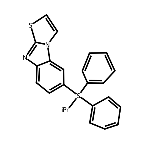 CC(C)S(c1ccccc1)(c1ccccc1)c1ccc2nc3sccn3c2c1